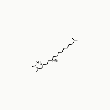 Br.CC(C)CCCCCCCCCCCCCC(C)C(C)N